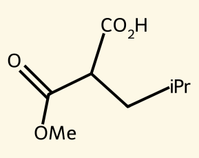 COC(=O)C(CC(C)C)C(=O)O